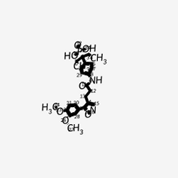 CCC(CC)(c1ccc(NC(=O)CCc2cnoc2-c2ccc(OC)c(OC)c2)cc1)P(=O)(O)O